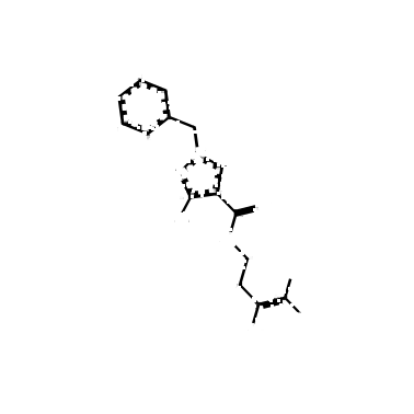 CC(CCOC(=O)c1cn(Cc2ccccc2)nc1C)=C(F)F